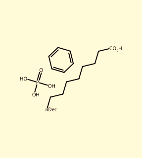 CCCCCCCCCCCCCCCCCC(=O)O.O=P(O)(O)O.c1ccccc1